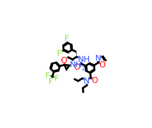 CCCN(CCC)C(=O)c1cc(C(=O)N[C@@H](Cc2cc(F)cc(F)c2)C(N)COC2(c3cccc(C(F)(F)F)c3)CC2)cc(-c2ncco2)c1